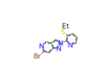 CCSc1cccnc1-n1cc2cnc(Br)cc2n1